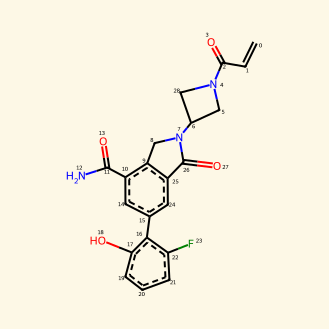 C=CC(=O)N1CC(N2Cc3c(C(N)=O)cc(-c4c(O)cccc4F)cc3C2=O)C1